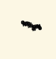 Cc1c(CC(C)Cc2ccccc2Oc2ccc(N=C=O)cc2)cccc1Oc1ccc(N=C=O)cc1